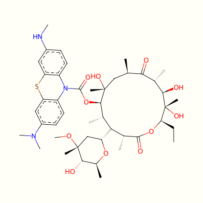 CC[C@H]1OC(=O)[C@H](C)C([C@H]2C[C@@](C)(OC)[C@@H](O)[C@H](C)O2)[C@H](C)[C@@H](OC(=O)N2c3ccc(NC)cc3Sc3cc(N(C)C)ccc32)[C@](C)(O)C[C@@H](C)C(=O)[C@H](C)[C@@H](O)[C@]1(C)O